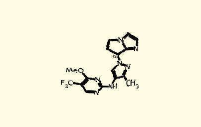 COc1nc(Nc2cn([C@H]3CCn4ccnc43)nc2C)ncc1C(F)(F)F